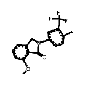 COc1cccc2c1C(=O)N(c1ccc(C)c(C(F)(F)F)c1)C2